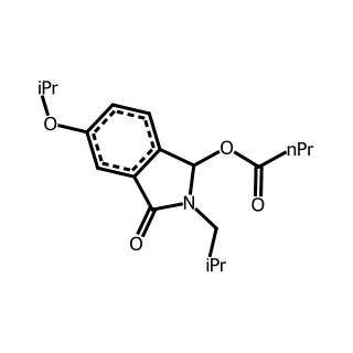 CCCC(=O)OC1c2ccc(OC(C)C)cc2C(=O)N1CC(C)C